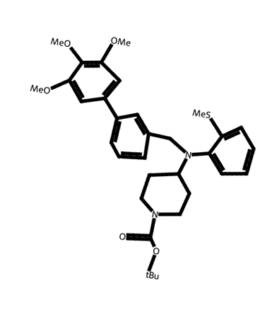 COc1cc(-c2cccc(CN(c3ccccc3SC)C3CCN(C(=O)OC(C)(C)C)CC3)c2)cc(OC)c1OC